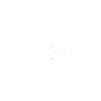 C1=CC(c2cccc(-c3cccc(-n4c5ccccc5c5cccc(-n6c7ccccc7c7c(-n8c9c(c%10ccccc%108)CCC=C9)cccc76)c54)c3)c2)=CCC1